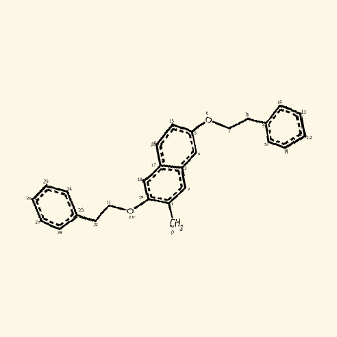 Cc1cc2cc(OCCc3ccccc3)ccc2cc1OCCc1ccccc1